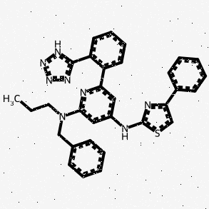 CCCN(Cc1ccccc1)c1cc(Nc2nc(-c3ccccc3)cs2)cc(-c2ccccc2-c2nnn[nH]2)n1